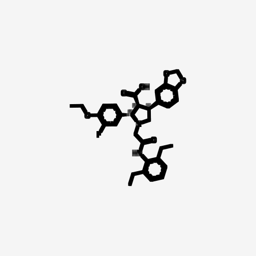 CCOc1ccc([C@@H]2[C@@H](C(=O)O)[C@@H](c3ccc4c(c3)OCO4)CN2CC(=O)Nc2c(CC)cccc2CC)cc1F